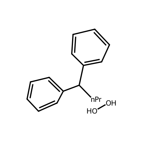 CCCC(c1ccccc1)c1ccccc1.OO